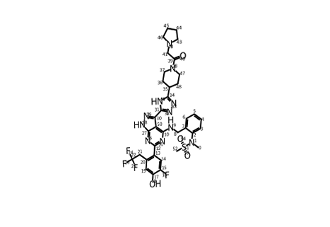 CN(c1ccccc1CNc1nc(-c2cc(F)c(O)cc2CC(F)(F)F)nc2[nH]nc(-c3nnc(C4CCN(C(=O)CN5CCCC5)CC4)[nH]3)c12)S(C)(=O)=O